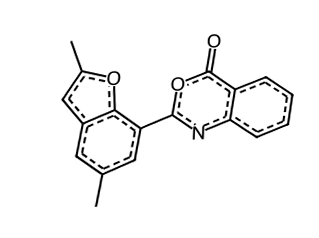 Cc1cc(-c2nc3ccccc3c(=O)o2)c2oc(C)cc2c1